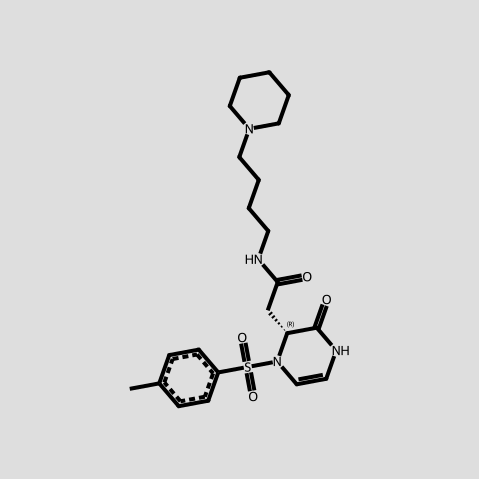 Cc1ccc(S(=O)(=O)N2C=CNC(=O)[C@H]2CC(=O)NCCCCN2CCCCC2)cc1